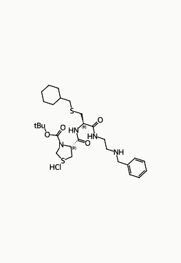 CC(C)(C)OC(=O)N1CSC[C@H]1C(=O)N[C@@H](CSCC1CCCCC1)C(=O)NCCNCc1ccccc1.Cl